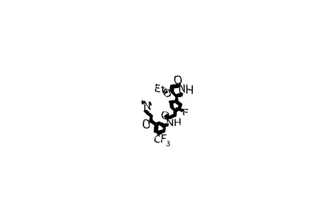 CCOc1cc(=O)[nH]cc1-c1ccc(CC(=O)Nc2cc(C(=O)CCN(C)C)cc(C(F)(F)F)c2)c(F)c1